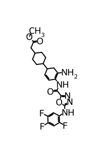 COC(=O)CC1CCC(C2C=CC(NC(=O)c3nnc(Nc4cc(F)c(F)cc4F)o3)=C(N)C2)CC1